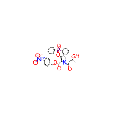 C[C@@H](O)[C@@H]1C(=O)N2C(C(=O)OCc3ccc([N+](=O)[O-])cc3)=C(OP(=O)(c3ccccc3)c3ccccc3)CC12